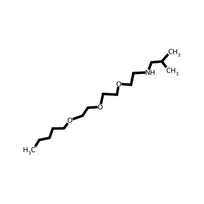 CCCCCOCCOCCOCCNCC(C)C